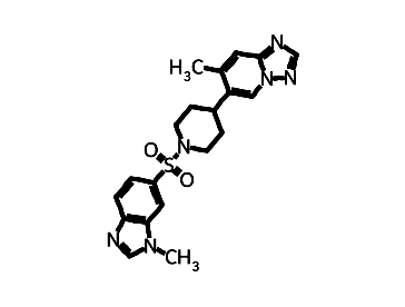 Cc1cc2ncnn2cc1C1CCN(S(=O)(=O)c2ccc3ncn(C)c3c2)CC1